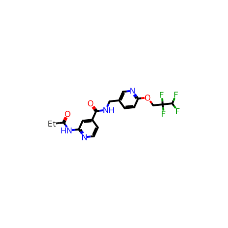 CCC(=O)Nc1cc(C(=O)NCc2ccc(OCC(F)(F)C(F)F)nc2)ccn1